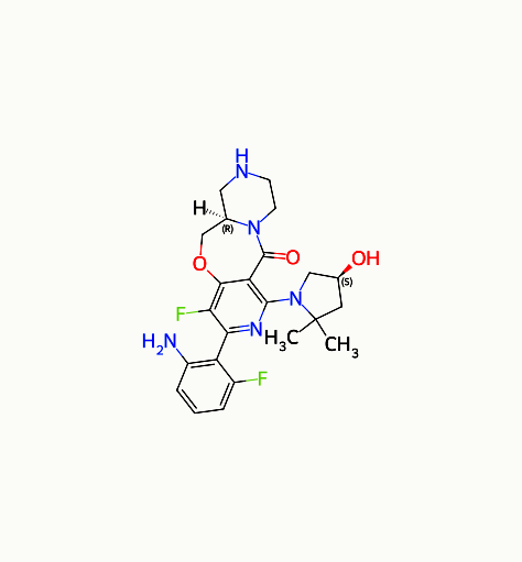 CC1(C)C[C@H](O)CN1c1nc(-c2c(N)cccc2F)c(F)c2c1C(=O)N1CCNC[C@@H]1CO2